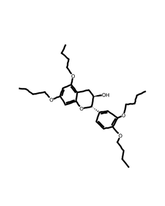 CCCCOc1cc(OCCCC)c2c(c1)O[C@@H](c1ccc(OCCCC)c(OCCCC)c1)[C@H](O)C2